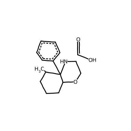 CC1CCCC2OCCNC12c1ccccc1.O=CO